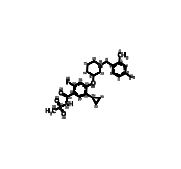 Cc1cc(F)ccc1CN1CCCC(Oc2cc(F)c(C(=O)NS(C)(=O)=O)cc2C2CC2)C1